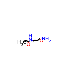 CCC(=O)NCCCCON